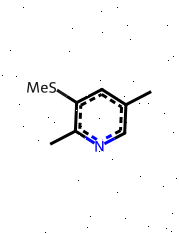 CSc1cc(C)cnc1C